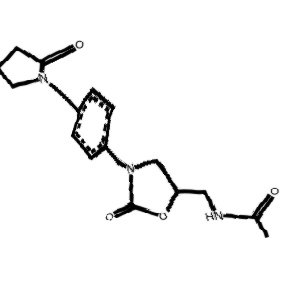 CC(=O)NCC1CN(c2ccc(N3CCCC3=O)cc2)C(=O)O1